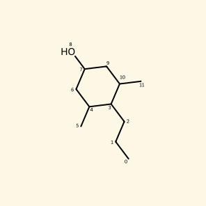 CCCC1C(C)CC(O)CC1C